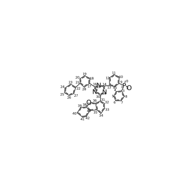 CP(=O)(c1ccccc1)c1cccc(-c2nc(-c3cccc(-c4ccccc4)c3)nc(-c3cccc4c3oc3ccccc34)n2)c1